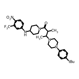 CC(C(=O)N1CCC(Nc2ccc([N+](=O)[O-])c(C(F)(F)F)c2)CC1)C(C)N1CCN(c2ccc(C(C)(C)C)cc2)CC1